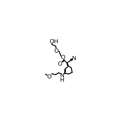 COCCCNC1=C/C(=C(/C#N)C(=O)OCCOCCO)CCC1